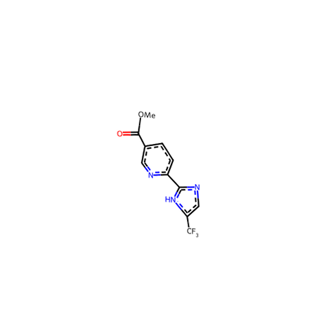 COC(=O)c1ccc(-c2ncc(C(F)(F)F)[nH]2)nc1